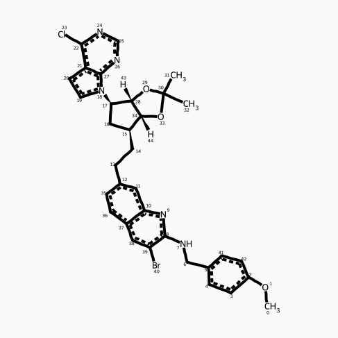 COc1ccc(CNc2nc3cc(CC[C@H]4C[C@@H](n5ccc6c(Cl)ncnc65)[C@@H]5OC(C)(C)O[C@H]45)ccc3cc2Br)cc1